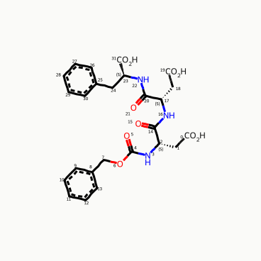 O=C(O)C[C@H](NC(=O)OCc1ccccc1)C(=O)N[C@@H](CC(=O)O)C(=O)N[C@@H](Cc1ccccc1)C(=O)O